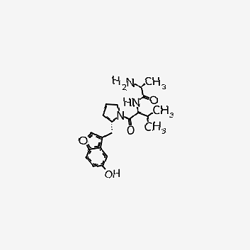 CC(C)[C@H](NC(=O)[C@H](C)N)C(=O)N1CCC[C@H]1Cc1coc2ccc(O)cc12